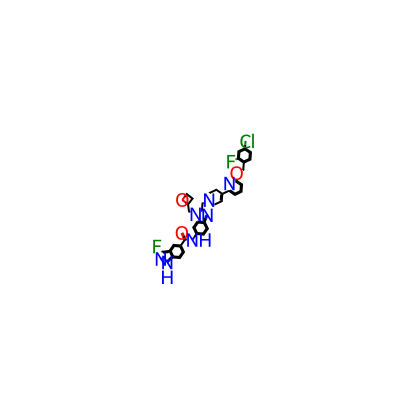 O=C(Nc1ccc2nc(CN3CC=C(c4cccc(OCc5ccc(Cl)cc5F)n4)CC3)n(CC3CCO3)c2c1)c1ccc2[nH]nc(F)c2c1